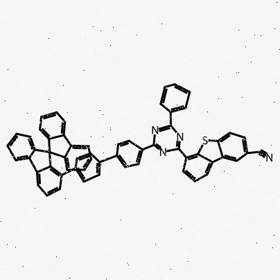 N#Cc1ccc2sc3c(-c4nc(-c5ccccc5)nc(-c5ccc(-c6ccc(-c7cccc8c7C7(c9ccccc9-c9ccccc97)c7ccccc7-8)cc6)cc5)n4)cccc3c2c1